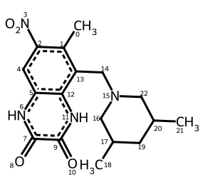 Cc1c([N+](=O)[O-])cc2[nH]c(=O)c(=O)[nH]c2c1CN1CC(C)CC(C)C1